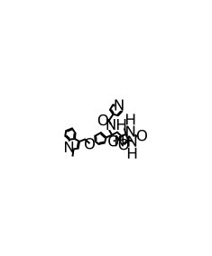 Cc1cc(COc2ccc(C3(CNC(=O)c4ccncc4)CC(C4(C)NC(=O)NC4=O)=NO3)cc2)c2ccccc2n1